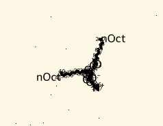 CCCCCCCCC(C)CCCCCCCCC(=O)OC[C@H](COP(=O)([O-])OCC[N+](C)(C)C)OC(=O)CCCCCCCCC(C)CCCCCCCC